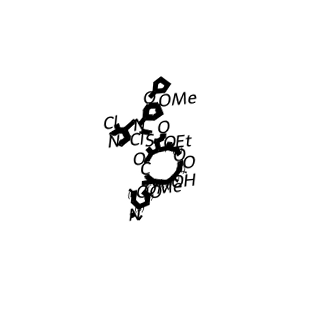 CC[C@H]1OC(=O)[C@H](C)[C@@H](O)[C@H](C)[C@@H](O[C@H]2C[C@@H](N(C)C)C[C@@H](C)O2)[C@](C)(OC)CCC(=O)C(C)C2C(SCCN(Cc3c(Cl)cncc3Cl)c3ccc(OC)c(OC4CCCC4)c3)C(=O)O[C@@]21C